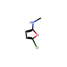 CNc1ccc(Cl)o1